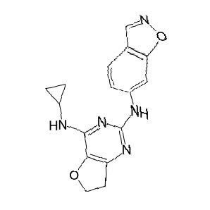 c1cc2cnoc2cc1Nc1nc2c(c(NC3CC3)n1)OCC2